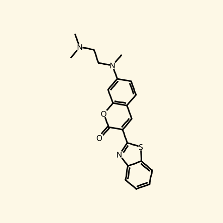 CN(C)CCN(C)c1ccc2cc(-c3nc4ccccc4s3)c(=O)oc2c1